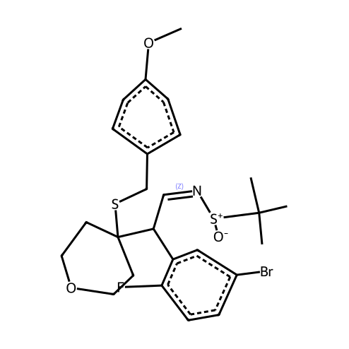 COc1ccc(CSC2(C(/C=N\[S+]([O-])C(C)(C)C)c3cc(Br)ccc3F)CCOCC2)cc1